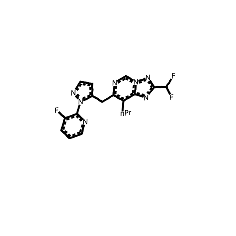 CCCc1c(Cc2ccnn2-c2ncccc2F)ncn2nc(C(F)F)nc12